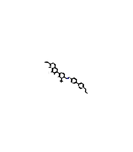 CCCc1ccc(-c2ccc(/C=C/c3ccc(-c4cc5ccc(C6CO6)c(F)c5c(F)c4F)c(F)c3C(F)(F)F)cc2)cc1